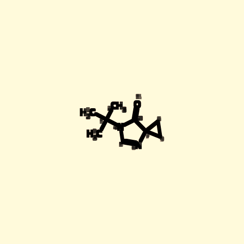 CC(C)(C)N1C=NC2(CC2)C1=O